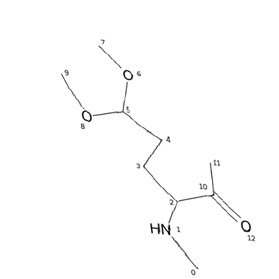 CNC(CCC(OC)OC)C(C)=O